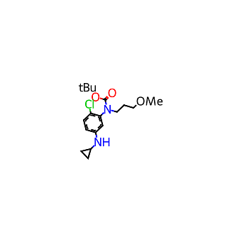 COCCCN(C(=O)OC(C)(C)C)c1cc(NC2CC2)ccc1Cl